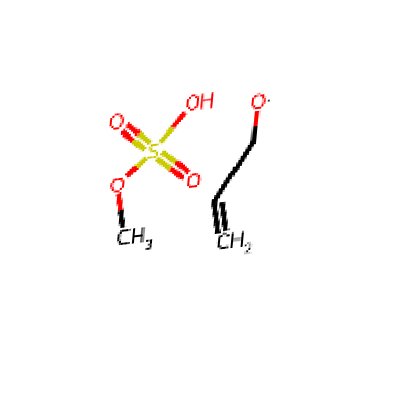 C=CC[O].COS(=O)(=O)O